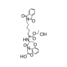 CCOC(=O)[C@H](CCCCCN1C(=O)c2ccccc2C1=O)NC1COc2ccccc2N(CC(=O)O)C1=O.Cl